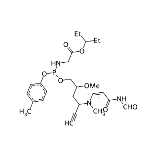 C#CC(CC(COP(NCC(=O)OC(CC)CC)Oc1ccc(C)cc1)OC)N(C)/C=C\C(=O)NC=O